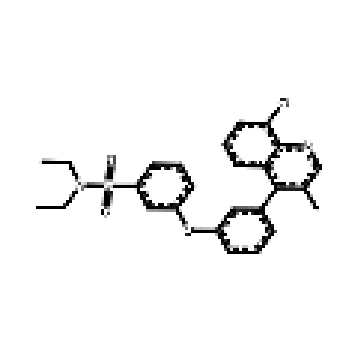 CCN(CC)S(=O)(=O)c1cccc(Oc2cccc(-c3c(C)cnc4c(Cl)cccc34)c2)c1